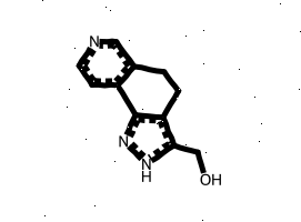 OCc1[nH]nc2c1CCc1cnccc1-2